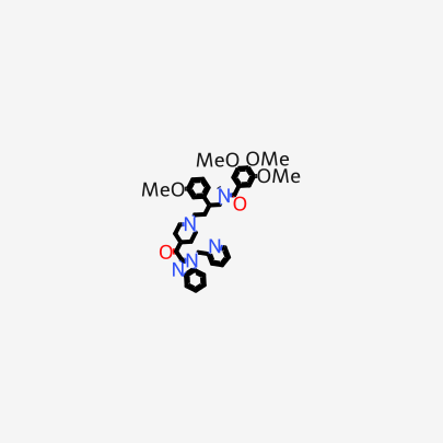 COc1cccc(C(CCN2CCC(C(=O)c3nc4ccccc4n3Cc3ccccn3)CC2)CN(C)C(=O)c2cc(OC)c(OC)c(OC)c2)c1